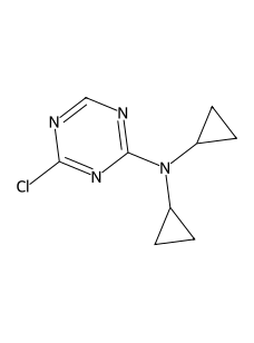 Clc1ncnc(N(C2CC2)C2CC2)n1